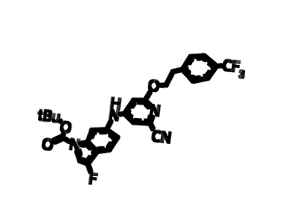 CC(C)(C)OC(=O)n1cc(F)c2ccc(Nc3cc(C#N)nc(OCCc4ccc(C(F)(F)F)cc4)c3)cc21